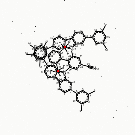 Cc1cc(C)cc(-c2ccc3c4ccc(-c5cc(C)cc(C)c5)cc4n(-c4cc(C#N)cc(-n5c6cc(-c7cc(C)cc(C)c7)ccc6c6ccc(-c7cc(C)cc(C)c7)cc65)c4-c4c(C(F)(F)F)cccc4C(F)(F)F)c3c2)c1